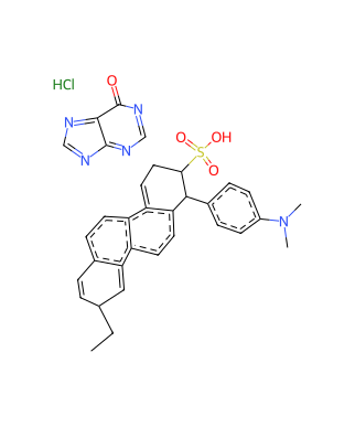 CCC1C=Cc2ccc3c4c(ccc3c2=C1)C(c1ccc(N(C)C)cc1)C(S(=O)(=O)O)CC=4.Cl.O=C1N=CN=C2N=CN=C12